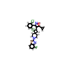 Fc1cccc2sc(N3CCC4(CC3)CC(c3c(-c5c(Cl)cccc5Cl)noc3C3CC3)C4)nc12